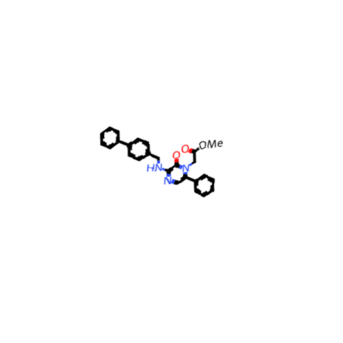 COC(=O)Cn1c(-c2ccccc2)cnc(NCc2ccc(-c3ccccc3)cc2)c1=O